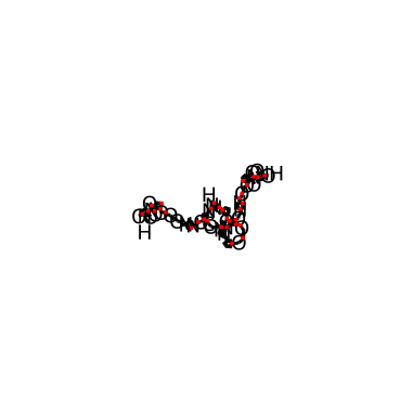 O=C1CCC(N2C(=O)c3cccc(OCCOCCOCCN4CCN(CCOc5ccc6cc5COC/C=C/C(N5c7ccc(OCCN8CCN(CCOCCOc9cccc%10c9C(=O)N(C9CCC(=O)NC9=O)C%10=O)CC8)c(c7)COC/C=C/COCc7cccc(c7)-c7ccnc5n7)OCc5cccc(c5)-c5ccnc(n5)N6)CC4)c3C2=O)C(=O)N1